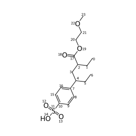 CCC(CC(CC)c1ccc(S(=O)(=O)O)cc1)C(=O)OCCOC